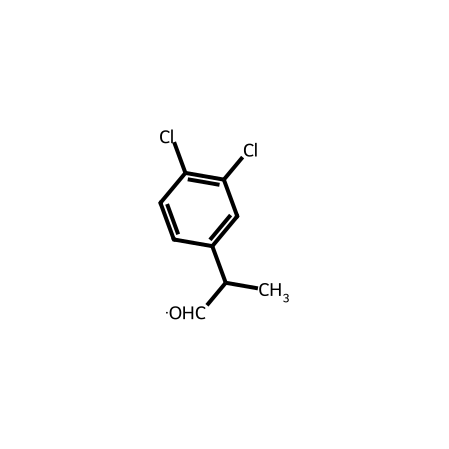 CC([C]=O)c1ccc(Cl)c(Cl)c1